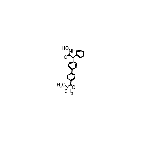 CN(C)C(=O)c1ccc(-c2ccc(C(C(=O)NO)c3ccccc3)cc2)cc1